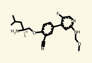 COCNc1cc(-c2ccc(OC[C@@](C)(N)CC(C)C)c(C#N)c2)c(F)cn1